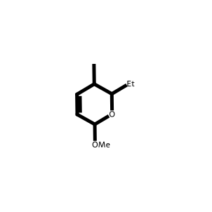 CCC1OC(OC)C=CC1C